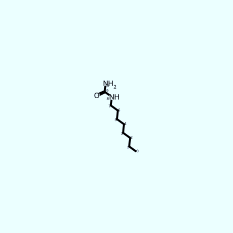 CCCCCCCCNC(N)=O